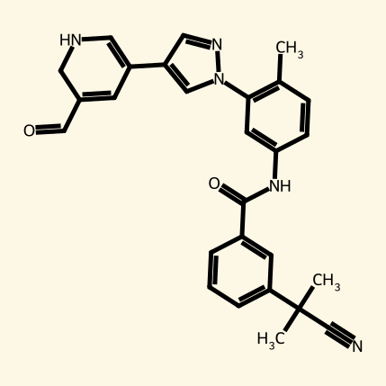 Cc1ccc(NC(=O)c2cccc(C(C)(C)C#N)c2)cc1-n1cc(C2=CNCC(C=O)=C2)cn1